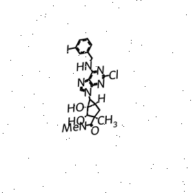 CNC(=O)[C@@]1(C)C[C@H]2C(n3cnc4c(NCc5cccc(I)c5)nc(Cl)nc43)[C@]2(O)[C@@H]1O